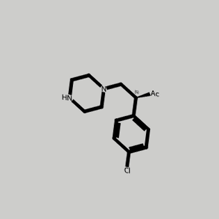 CC(=O)[C@H](CN1CCNCC1)c1ccc(Cl)cc1